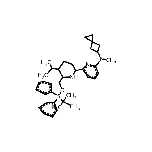 CC(C)C1CCC(c2cccc(N(C)C3CC4(CC4)C3)n2)NC1CO[Si](c1ccccc1)(c1ccccc1)C(C)(C)C